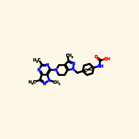 Cc1nc(N2CCc3c(c(C)nn3CC34CCC(NC(=O)O)(CC3)CC4)C2)c2c(n1)c(C)nn2C